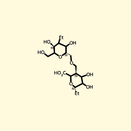 CCC1C(O)[C@H](COC[C@@H]2C(C(=O)O)O[C@@H](CC)C(O)C2O)OC(CO)[C@H]1O